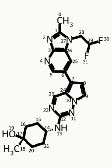 Cc1nc2ncc(-c3ccn4nc(N[C@H]5CC[C@@](C)(O)CC5)ncc34)cc2n1CC(F)F